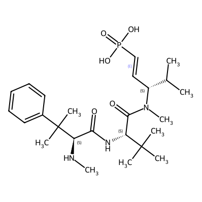 CN[C@H](C(=O)N[C@H](C(=O)N(C)[C@H](/C=C/P(=O)(O)O)C(C)C)C(C)(C)C)C(C)(C)c1ccccc1